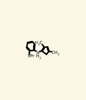 CCCc1ccccc1[SiH2]C1=C(C)C=C(C)C1